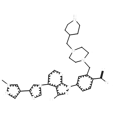 CC(C)c1nn(-c2ccc(C(N)=O)c(CN3CCN(CC4CCNCC4)CC3)c2)c2nccc(-n3cnc(-c4cnn(C)c4)c3)c12